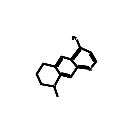 CC(C)c1ccnc2cc3c(cc12)CCCN3C